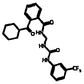 O=C(NCNC(=O)c1ccccc1C(=O)C1CCCCC1)Nc1cccc(C(F)(F)F)c1